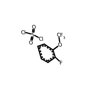 Fc1ccccc1OC(F)(F)F.O=S(=O)(Cl)Cl